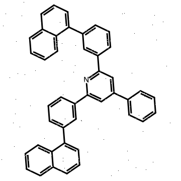 c1ccc(-c2cc(-c3cccc(-c4cccc5ccccc45)c3)nc(-c3cccc(-c4cccc5ccccc45)c3)c2)cc1